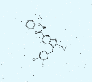 CC[C@H](NC(=O)c1ccc2c(c1)nc(C1CC1)n2Cc1ccc(Cl)c(Cl)c1)c1ccccc1